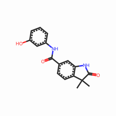 CC1(C)C(=O)Nc2cc(C(=O)Nc3cccc(O)c3)ccc21